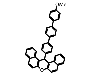 COc1ccc(-c2ccc(-c3ccc(C4c5c(ccc6ccccc56)Oc5ccc6ccccc6c54)cc3)cc2)cc1